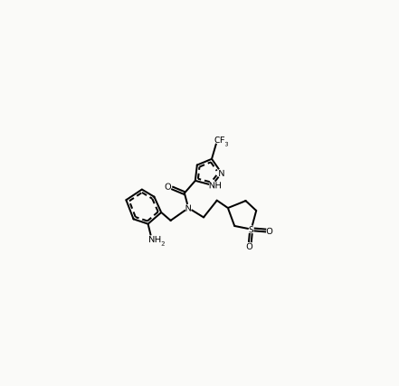 Nc1ccccc1CN(CCC1CCS(=O)(=O)C1)C(=O)c1cc(C(F)(F)F)n[nH]1